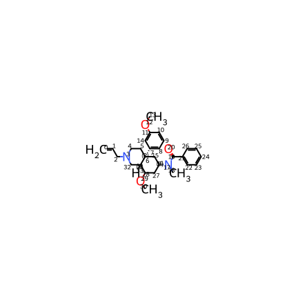 C=CCN1CC[C@@]2(c3cccc(OC)c3)C[C@H](N(C)C(=O)c3ccccc3)CC(OC)[C@@H]2C1